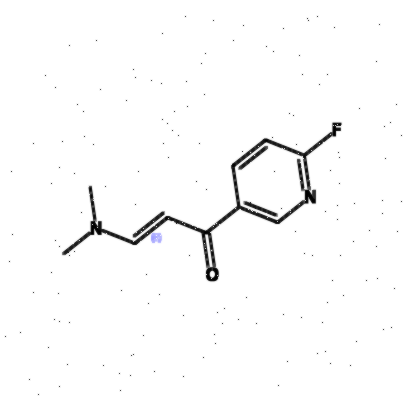 CN(C)/C=C/C(=O)c1ccc(F)nc1